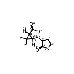 CC1(C)[C@@H]2[C@H]1C(=O)O[C@H]2C1CCSC1=O